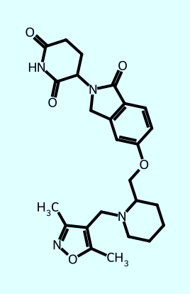 Cc1noc(C)c1CN1CCCCC1COc1ccc2c(c1)CN(C1CCC(=O)NC1=O)C2=O